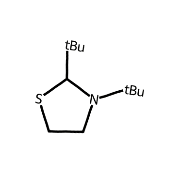 CC(C)(C)C1SCCN1C(C)(C)C